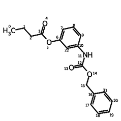 CCCC(=O)Oc1cccc(NC(=O)OCc2ccccc2)c1